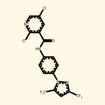 O=C(Nc1ccc(-n2nc(C(F)(F)F)cc2C(F)(F)F)cc1)c1cc(Cl)cnc1Cl